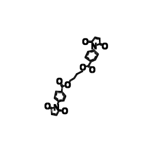 O=C(OCCCCOC(=O)c1ccc(N2C(=O)C=CC2=O)cc1)c1ccc(N2C(=O)C=CC2=O)cc1